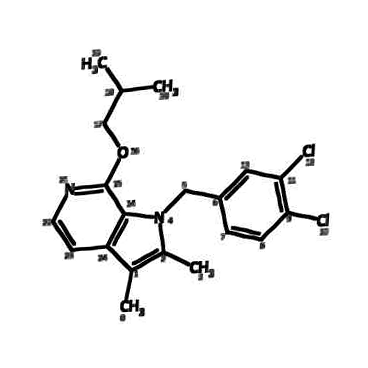 Cc1c(C)n(Cc2ccc(Cl)c(Cl)c2)c2c(OCC(C)C)nccc12